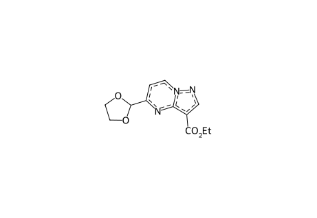 CCOC(=O)c1cnn2ccc(C3OCCO3)nc12